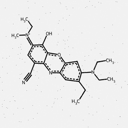 CCc1cc2nc3c(C#N)c/c(=[N+](\C)CC)c(O)c-3oc2cc1N(CC)CC